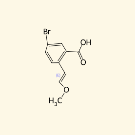 CO/C=C/c1ccc(Br)cc1C(=O)O